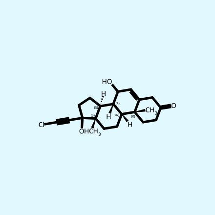 C[C@]12CCC(=O)CC1=CC(O)[C@@H]1[C@H]2CC[C@@]2(C)[C@H]1CCC2(O)C#CCl